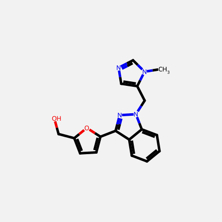 Cn1cncc1Cn1nc(-c2ccc(CO)o2)c2ccccc21